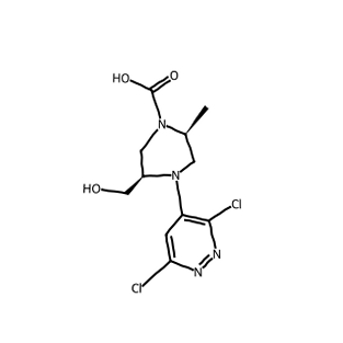 C[C@H]1CN(c2cc(Cl)nnc2Cl)[C@@H](CO)CN1C(=O)O